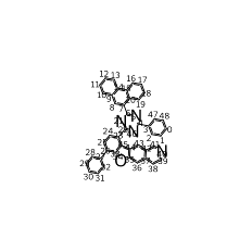 c1ccc(-c2nc(-c3cc4ccccc4c4ccccc34)nc(-c3ccc(-c4ccccc4)c4oc5cc6ccncc6cc5c34)n2)cc1